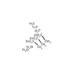 CCOC(C)=O.CCOC(C)=O.CCOC(C)=O.O.O.O.O.O